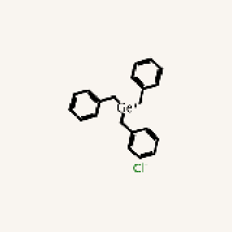 [Cl-].c1ccc([CH2][Ge+]([CH2]c2ccccc2)[CH2]c2ccccc2)cc1